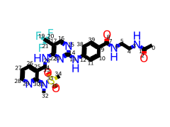 CC(=O)NCCNC(=O)c1ccc(Nc2ncc(C(F)(F)F)c(NCc3cccnc3N(C)S(C)(=O)=O)n2)cc1